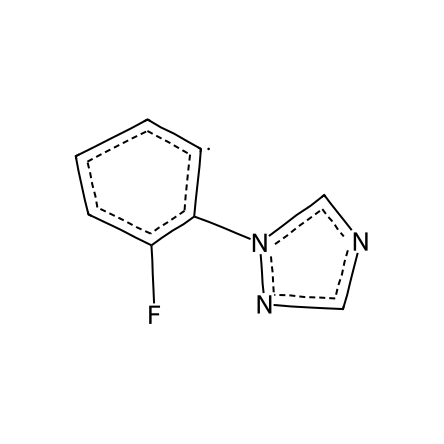 Fc1ccc[c]c1-n1cncn1